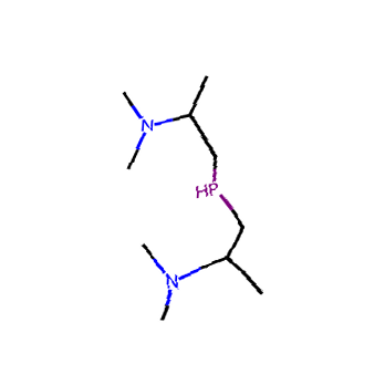 CC(CPCC(C)N(C)C)N(C)C